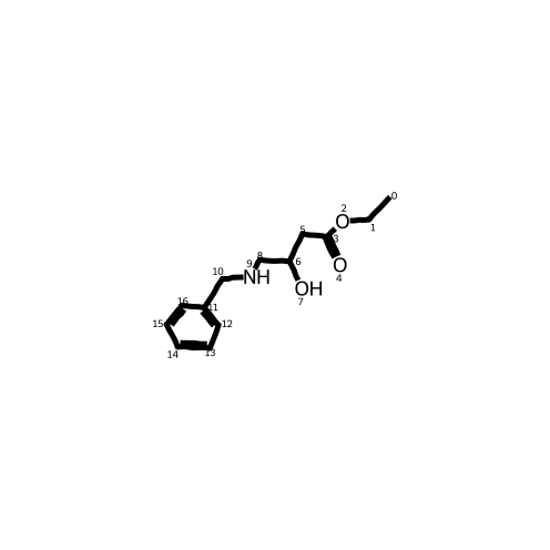 CCOC(=O)CC(O)CNCc1ccccc1